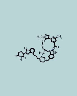 Cc1cc2cc(n1)-c1cnn(C)c1OCCC[C@@H](C)CN1/C(=N/C2=O)Nc2ccc(CN3CCN(CCCc4cccc5c4CN(C4CCC(=O)NC4=O)C5=O)CC3)cc21